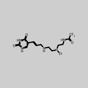 CCN(CCNC/C=C/c1c[nH]c(=O)[nH]c1=O)CCNC(=O)C(F)(F)F